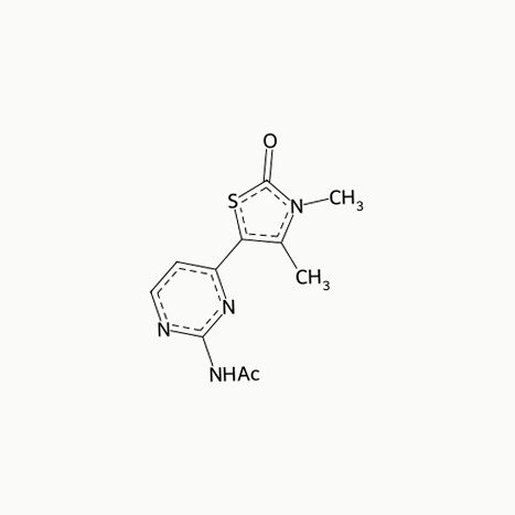 CC(=O)Nc1nccc(-c2sc(=O)n(C)c2C)n1